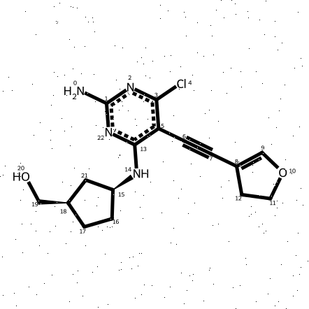 Nc1nc(Cl)c(C#CC2=COCC2)c(N[C@H]2CC[C@@H](CO)C2)n1